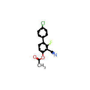 CC(=O)Oc1ccc(-c2ccc(Cl)cc2)c(F)c1C#N